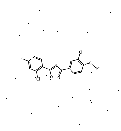 CC(C)Oc1ccc(-c2noc(-c3ccc(F)cc3Cl)n2)cc1Cl